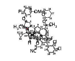 COc1cc(O[C@H]2C[C@H](c3cc4c([C@@H](C)OC5CCCCO5)nc5c(F)c(-c6cccc(Cl)c6Cl)c(CCC#N)cc5c4n3[C@H]3[C@@H]4C[C@H]3N(C(=O)OC(C)(C)C)C4)N(C(=O)C3CC3)[C@@H]2C)c(F)cn1